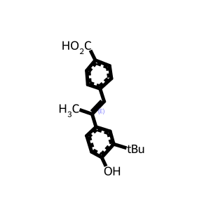 C/C(=C\c1ccc(C(=O)O)cc1)c1ccc(O)c(C(C)(C)C)c1